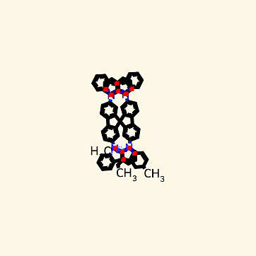 C/C=C1\C(CC)C2=C(C=CC(C)C2)N1c1ccc2c(c1)C1(c3cc(N4c5ccccc5C5=CC=CCC54)ccc3-c3ccc(-n4c5ccccc5c5ccccc54)cc31)c1cc(-n3c4ccccc4c4ccccc43)ccc1-2